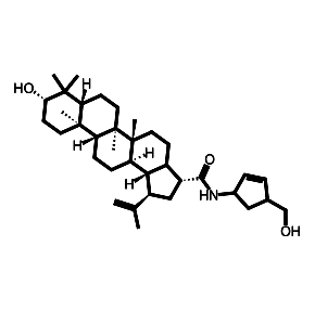 C=C(C)[C@@H]1C[C@@H](C(=O)NC2C=CC(CO)C2)C2CC[C@]3(C)[C@H](CC[C@@H]4[C@@]5(C)CC[C@H](O)C(C)(C)[C@@H]5CC[C@]43C)[C@H]21